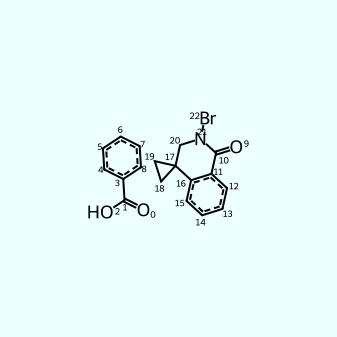 O=C(O)c1ccccc1.O=C1c2ccccc2C2(CC2)CN1Br